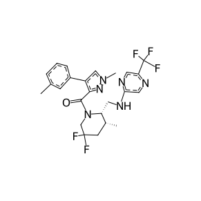 Cc1cccc(-c2cn(C)nc2C(=O)N2CC(F)(F)C[C@@H](C)[C@H]2CNc2cnc(C(F)(F)F)cn2)c1